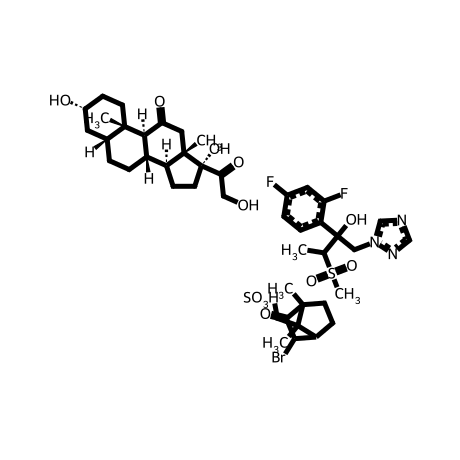 CC(C(O)(Cn1cncn1)c1ccc(F)cc1F)S(C)(=O)=O.CC12CCC(C(Br)C1=O)C2(C)CS(=O)(=O)O.C[C@]12CC[C@@H](O)C[C@H]1CC[C@@H]1[C@@H]2C(=O)C[C@@]2(C)[C@H]1CC[C@]2(O)C(=O)CO